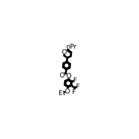 CCCC1=CCC(c2ccc(C(=O)Oc3ccc(OCC)c(C(F)F)c3F)cc2)CO1